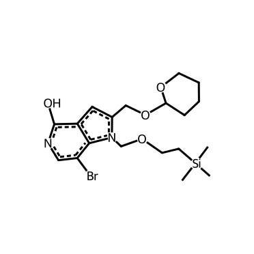 C[Si](C)(C)CCOCn1c(COC2CCCCO2)cc2c(O)ncc(Br)c21